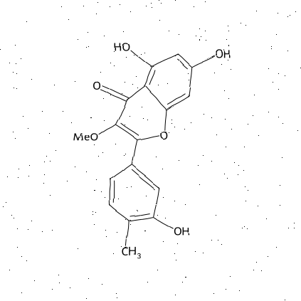 COc1c(-c2ccc(C)c(O)c2)oc2cc(O)cc(O)c2c1=O